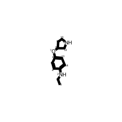 CCNc1ccc(OC2CCNC2)cc1